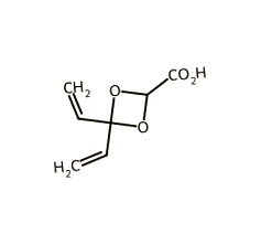 C=CC1(C=C)OC(C(=O)O)O1